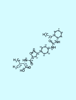 COc1ccccc1NC(=O)Nc1ccc(-c2cc(C(=O)N[C@H](C(=O)O)C(C)C)on2)cc1